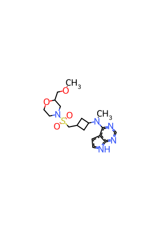 COCC1CN(S(=O)(=O)CC2CC(N(C)c3ncnc4[nH]ccc34)C2)CCO1